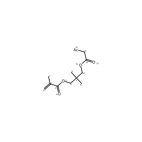 C=C(C)C(=O)OCC(C)(C)COC(=O)CC(C)=O